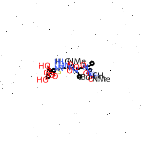 CN[C@@H](C)C(=O)N[C@@H](CCCNC(=S)Nc1ccc2c(c1)C(=O)OC21c2ccc(O)cc2Oc2cc(O)ccc21)C(=O)N1CCC[C@H]1CN(CCc1ccccc1)C(=O)CCCC(=O)N(CCc1ccccc1)CC1CCCN1C(=O)[C@@H](NC(=O)[C@H](C)NC)C(C)(C)C